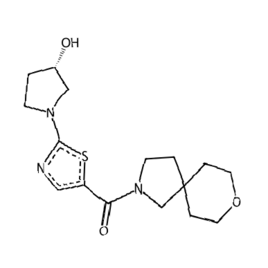 O=C(c1cnc(N2CC[C@H](O)C2)s1)N1CCC2(CCOCC2)C1